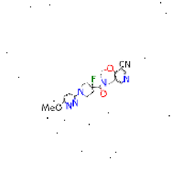 COc1ccc(N2CCC(F)(C(=O)N3CCOc4c(C#N)cncc4C3)CC2)nn1